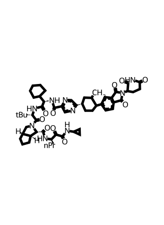 CCC[C@@H](NC(=O)[C@@H]1[C@H]2CCC[C@H]2CN1C(=O)[C@@H](NC(=O)[C@@H](NC(=O)c1cnc([C@H]2CCC(c3ccc4c(c3)C(=O)N(C3CCC(=O)NC3=O)C4=O)C(C)C2)cn1)C1CCCCC1)C(C)(C)C)C(=O)C(=O)NC1CC1